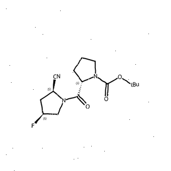 CC(C)(C)OC(=O)N1CCC[C@H]1C(=O)N1C[C@@H](F)C[C@H]1C#N